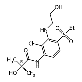 CCS(=O)(=O)c1ccc(NC(=O)[C@@](C)(O)C(F)(F)F)c(Cl)c1NCCO